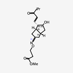 COC(=O)CCO/N=C1\C[C@H]2C[C@H](O)[C@@H](C=CC(=O)C(C)C)[C@@H]2C1